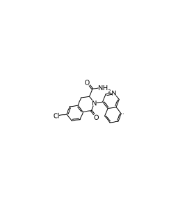 NC(=O)C1Cc2cc(Cl)ccc2C(=O)N1c1cncc2[c]cccc12